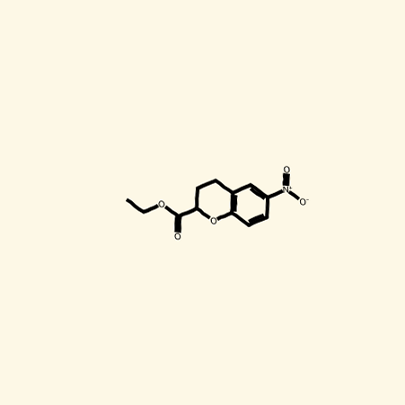 CCOC(=O)C1CCc2cc([N+](=O)[O-])ccc2O1